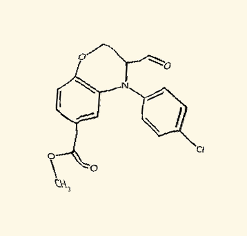 COC(=O)c1ccc2c(c1)N(c1ccc(Cl)cc1)C(C=O)CO2